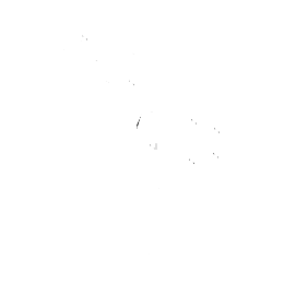 CC1(C(=O)N2CCC[C@H]2C(=O)NCc2cc(Cl)ccc2-n2cnnn2)CCN1